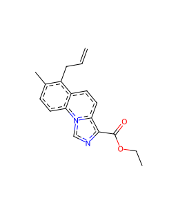 C=CCc1c(C)ccc2c1ccc1c(C(=O)OCC)ncn12